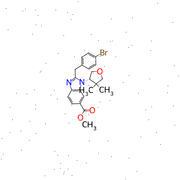 COC(=O)c1ccc2nc(Cc3ccc(Br)cc3)n([C@@H]3COCC3(C)C)c2c1